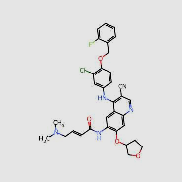 CN(C)C/C=C/C(=O)Nc1cc2c(Nc3ccc(OCc4ccccc4F)c(Cl)c3)c(C#N)cnc2cc1OC1CCOC1